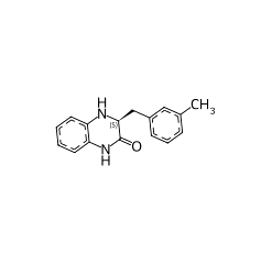 Cc1cccc(C[C@@H]2Nc3ccccc3NC2=O)c1